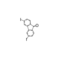 O=C1c2ccc(I)cc2-c2cc(I)ccc21